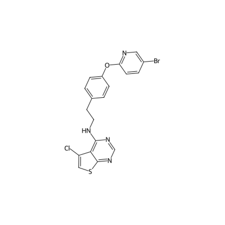 Clc1csc2ncnc(NCCc3ccc(Oc4ccc(Br)cn4)cc3)c12